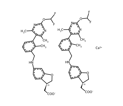 Cc1nc(OC(F)F)nc(C)c1-c1cccc(CNc2ccc3c(c2)OC[C@H]3CC(=O)[O-])c1C.Cc1nc(OC(F)F)nc(C)c1-c1cccc(CNc2ccc3c(c2)OC[C@H]3CC(=O)[O-])c1C.[Ca+2]